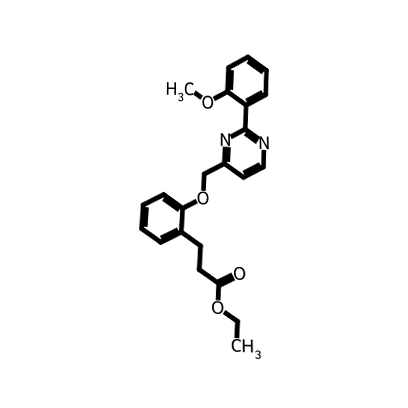 CCOC(=O)CCc1ccccc1OCc1ccnc(-c2ccccc2OC)n1